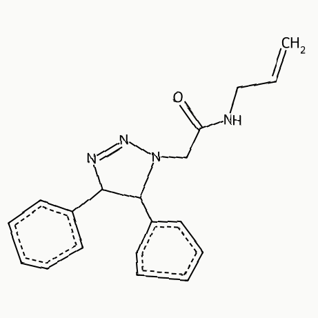 C=CCNC(=O)CN1N=NC(c2ccccc2)C1c1ccccc1